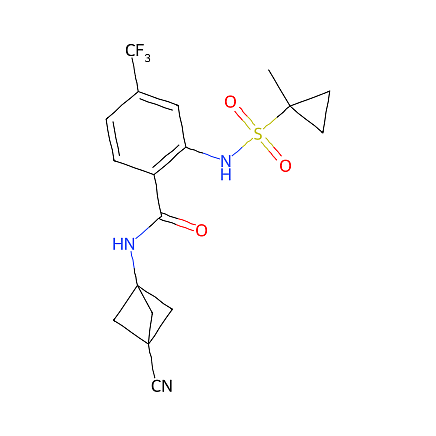 CC1(S(=O)(=O)Nc2cc(C(F)(F)F)ccc2C(=O)NC23CC(C#N)(C2)C3)CC1